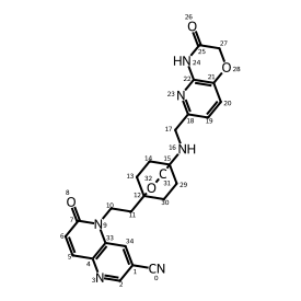 N#Cc1cnc2ccc(=O)n(CCC34CCC(NCc5ccc6c(n5)NC(=O)CO6)(CC3)CO4)c2c1